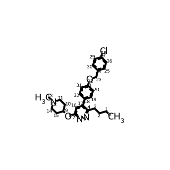 CCCCc1nnc(OC2CCN(C)CC2)cc1-c1ccc(OCc2ccc(Cl)cc2)cc1